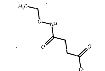 CCONC(=O)CCC([O])=O